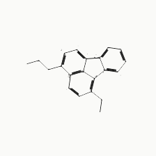 CCCc1ccc2c3c(c(CC)ccc13)-c1ccccc1-2